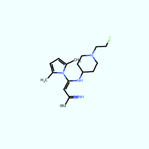 Cc1ccc(C)n1/C(=C/C(=N)C(C)(C)C)NC1CCN(CCF)CC1